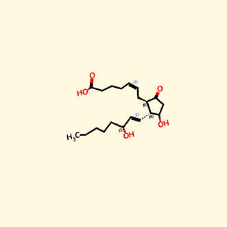 CCCCC[C@H](O)/C=C/[C@H]1C(O)CC(=O)[C@@H]1C/C=C\CCCC(=O)O